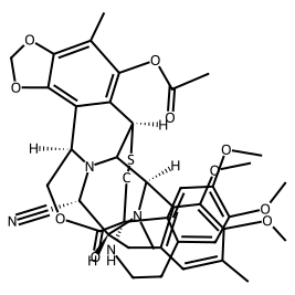 COc1cc2c(cc1OC)[C@@]1(CS[C@@H]3c4c(OC(C)=O)c(C)c5c(c4[C@H](COC1=O)N1C3[C@H]3c4c(cc(C)c(OC)c4OC)C[C@H]([C@@H]1C#N)N3C)OCO5)NCC2